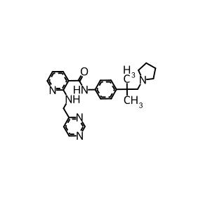 CC(C)(CN1CCCC1)c1ccc(NC(=O)c2cccnc2NCc2ccncn2)cc1